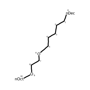 CCCCCCCCCCCCCCCOCCOCCCCCCCC